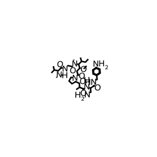 CCC(C)C(C(CC(=O)N1CCCC1C(OC)C(C)C(=O)NC(CN)C(=O)NCc1ccc(N)cc1)OC)N(C)C(=O)CNC(=O)C(C(C)C)N(C)C